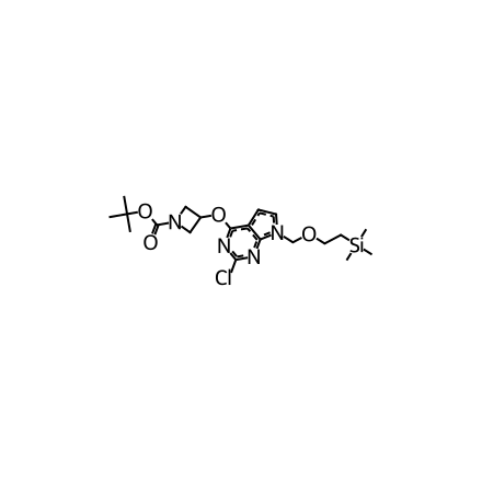 CC(C)(C)OC(=O)N1CC(Oc2nc(Cl)nc3c2ccn3COCC[Si](C)(C)C)C1